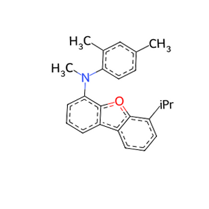 Cc1ccc(N(C)c2cccc3c2oc2c(C(C)C)cccc23)c(C)c1